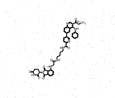 CNC(=O)c1cnc2ccc(-c3ccc(C(=O)NCCCCNC(=O)CNc4cccc5c4C(=O)N(C4CCC(=O)NC4=O)C5=O)nc3)cc2c1Nc1ccccc1